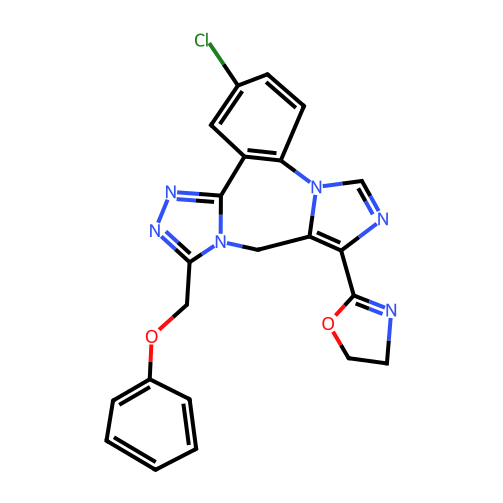 Clc1ccc2c(c1)-c1nnc(COc3ccccc3)n1Cc1c(C3=NCCO3)ncn1-2